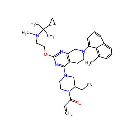 C=CC(=O)N1CCN(c2nc(OCCN(C)C(C)(C)C3CC3)nc3c2CCN(c2cccc4cccc(C)c24)C3)CC1CC#N